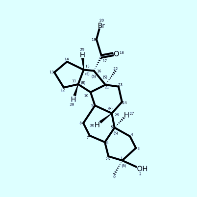 C[C@@]1(O)CC[C@H]2C(CCC3C4[C@@H]5CCC[C@@H]5[C@H](C(=O)CBr)[C@@]4(C)CC[C@@H]32)C1